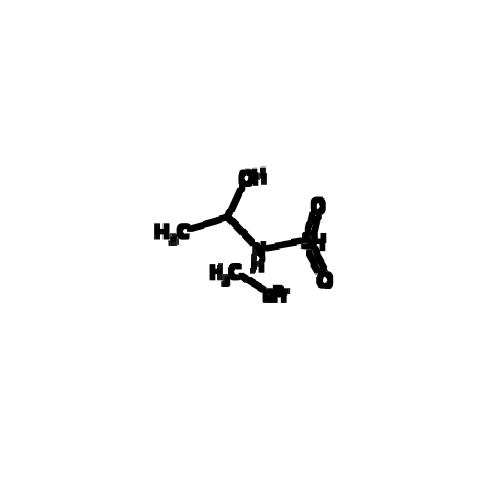 CC(O)N[SH](=O)=O.CCCC